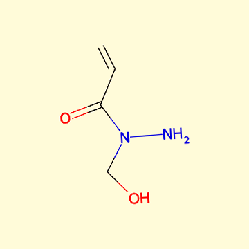 C=CC(=O)N(N)CO